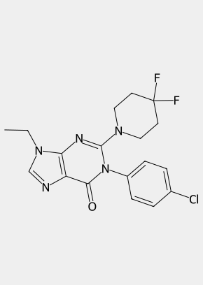 CCn1cnc2c(=O)n(-c3ccc(Cl)cc3)c(N3CCC(F)(F)CC3)nc21